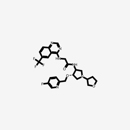 O=C(CNc1ncnc2ccc(C(F)(F)F)cc12)NC1CN(C2CCOC2)C[C@@H]1OCc1ccc(F)cn1